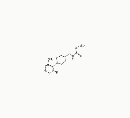 CC(C)(C)OC(=O)NCC1CCN(c2c(N)cccc2F)CC1